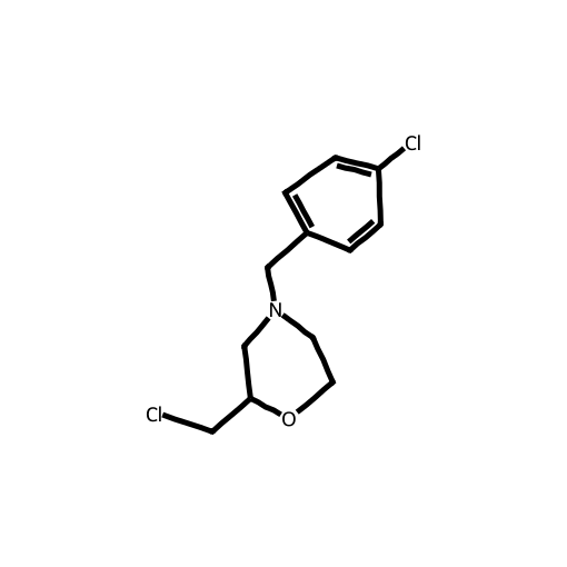 ClCC1CN(Cc2ccc(Cl)cc2)CCO1